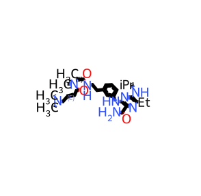 CCc1nc(C(N)=O)c(Nc2cccc(CCNC(=O)[C@H](C)N(C)C(=O)/C=C/CN(C)C)c2)nc1NC(C)C